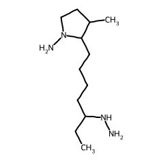 CCC(CCCCC1C(C)CCN1N)NN